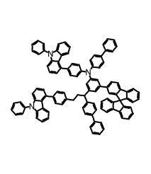 c1ccc(-c2ccc(C(CCc3ccc(-c4cccc5c4c4ccccc4n5-c4ccccc4)cc3)c3cc(-c4ccc5c(c4)C4(c6ccccc6-c6ccccc64)c4ccccc4-5)cc(N(c4ccc(-c5ccccc5)cc4)c4ccc(-c5cccc6c5c5ccccc5n6-c5ccccc5)cc4)c3)cc2)cc1